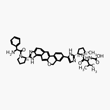 CC(C)C(NC(=O)O)C(=O)N1[C@@H](C)CC[C@H]1c1ncc(-c2ccc3c(c2)COc2cc4c(ccc5nc([C@@H]6CCCN6C(=O)C(N)c6ccccc6)[nH]c54)cc2-3)[nH]1